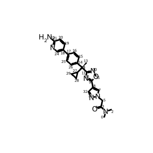 CN(C)C(=O)Cn1cc(-c2nc([C@@](C)(c3ccc(-c4ccc(N)nc4)cc3)C3CC3)no2)cn1